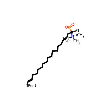 CCCCCC=CCCCCCCCCCCCCCCCC(CC)(P(=O)=O)[N+](C)(C)C